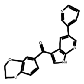 O=C(c1ccc2c(c1)OCCO2)c1c[nH]c2ncc(-c3cccnc3)cc12